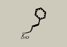 O=COC/C=C/c1ccccc1